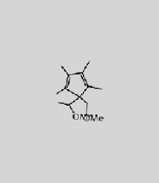 COCC1(C(C)OC)C(C)=C(C)C(C)=C1C